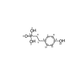 O=P(O)(O)CCc1ccc(O)cc1